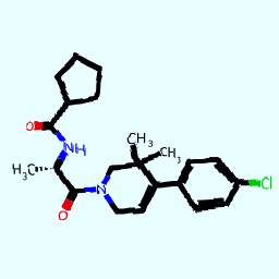 C[C@H](NC(=O)C1CCCC1)C(=O)N1CC=C(c2ccc(Cl)cc2)C(C)(C)C1